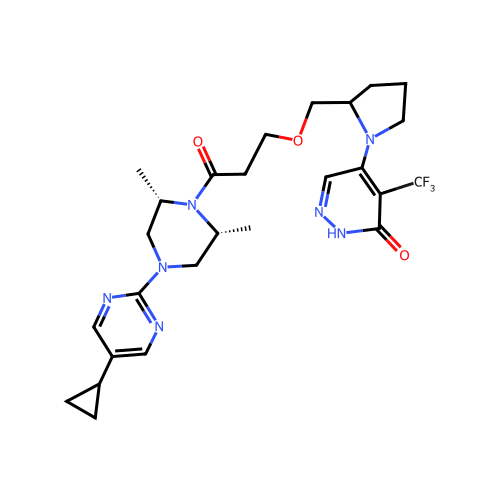 C[C@@H]1CN(c2ncc(C3CC3)cn2)C[C@H](C)N1C(=O)CCOCC1CCCN1c1cn[nH]c(=O)c1C(F)(F)F